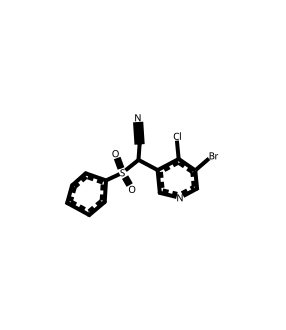 N#CC(c1cncc(Br)c1Cl)S(=O)(=O)c1ccccc1